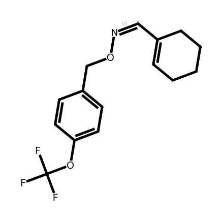 FC(F)(F)Oc1ccc(CO/N=[C]\C2=CCCCC2)cc1